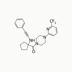 O=C(N1CCN(c2cccc(C(F)(F)F)n2)CC1)C1(NC#Cc2ccccc2)CCCC1